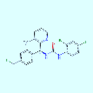 O=C(Nc1ccc(F)cc1F)N[C@@H](c1ccc(CF)cc1)c1ncccc1C(F)(F)F